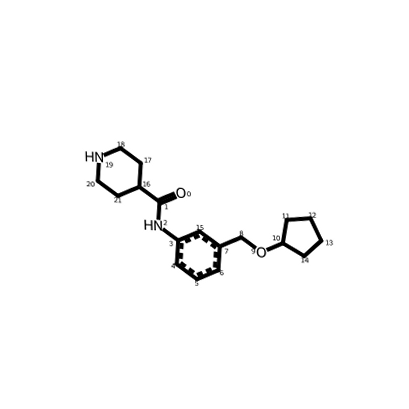 O=C(Nc1cccc(COC2CCCC2)c1)C1CCNCC1